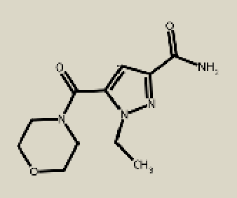 CCn1nc(C(N)=O)[c]c1C(=O)N1CCOCC1